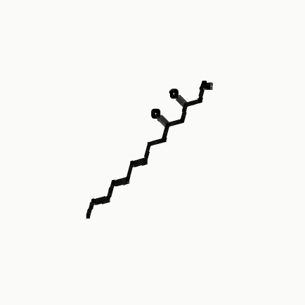 C/C=C/C=C/C=C/CCC(=O)CC(=O)CC(C)=O